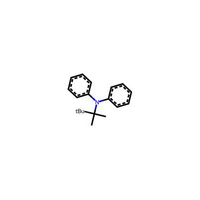 CC(C)(C)C(C)(C)N(c1ccccc1)c1ccccc1